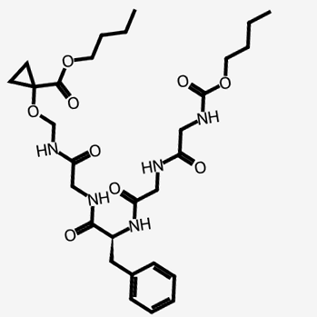 CCCCOC(=O)NCC(=O)NCC(=O)N[C@@H](Cc1ccccc1)C(=O)NCC(=O)NCOC1(C(=O)OCCCC)CC1